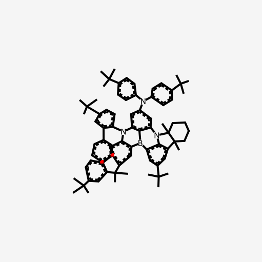 CC(C)(C)c1ccc(N(c2ccc(C(C)(C)C)cc2)c2cc3c4c(c2)N2c5c(cc(C(C)(C)C)cc5C5(C)CCCCC25C)B4c2cc4c(cc2N3c2ccc(C(C)(C)C)cc2-c2ccccc2)-c2ccc(C(C)(C)C)cc2C4(C)C)cc1